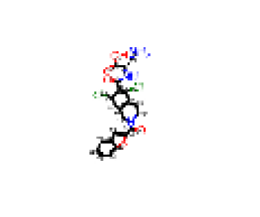 NC[C@H](NC(=O)C1=C(Cl)C2=C(CC1Cl)CN(C(=O)c1cc3ccccc3o1)CC2)C(=O)O